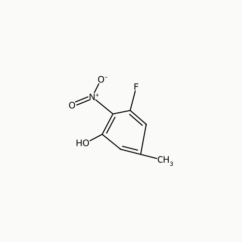 Cc1cc(O)c([N+](=O)[O-])c(F)c1